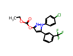 CCOC(=O)Oc1cc(-c2cccc(C(F)(F)F)c2)n(-c2ccc(Cl)cc2)n1